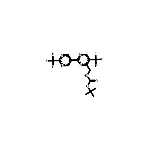 CC(C)(C)OC(=O)NCc1nc(-c2cnc(C(F)(F)F)nc2)ncc1C(F)(F)F